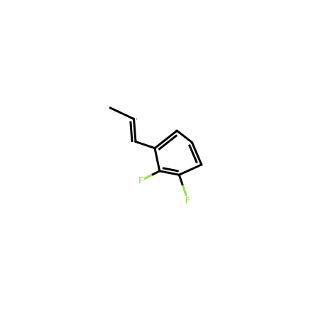 C[C]=Cc1cccc(F)c1F